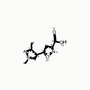 Cc1nn(C)cc1-c1cc(C(=O)O)no1